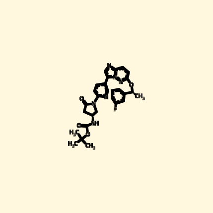 C[C@@H](Oc1ccc2ncc(-c3ccc(N4C[C@@H](NC(=O)OC(C)(C)C)CC4=O)nc3)n2n1)c1cccc(F)c1